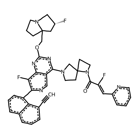 C#Cc1cccc2cccc(-c3ncc4c(N5CCC6(CCN6C(=O)/C(F)=C/c6ccccn6)C5)nc(OCC56CCCN5C[C@H](F)C6)nc4c3F)c12